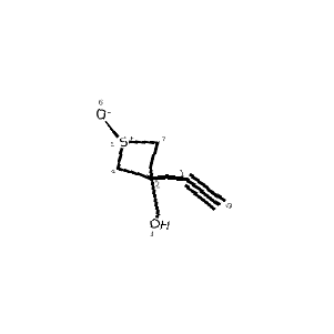 C#CC1(O)C[S+]([O-])C1